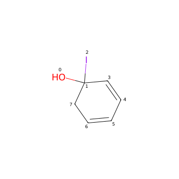 OC1(I)C=CC=CC1